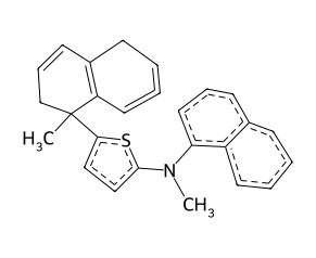 CN(c1ccc(C2(C)CC=CC3=C2C=C=CC3)s1)c1cccc2ccccc12